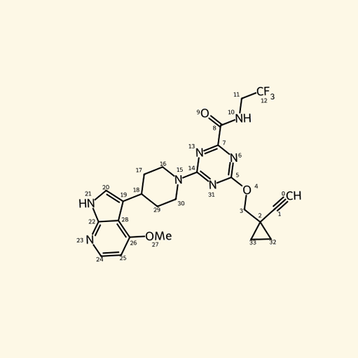 C#CC1(COc2nc(C(=O)NCC(F)(F)F)nc(N3CCC(c4c[nH]c5nccc(OC)c45)CC3)n2)CC1